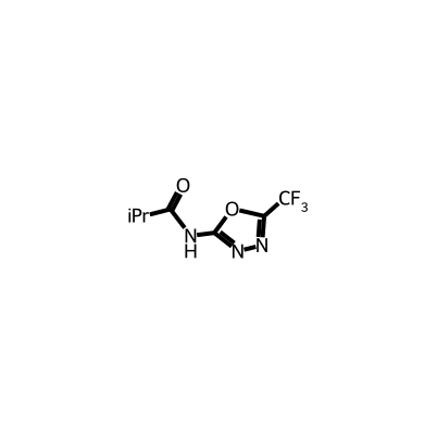 CC(C)C(=O)Nc1nnc(C(F)(F)F)o1